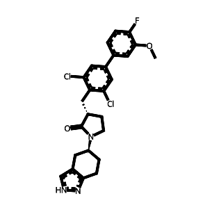 COc1cc(-c2cc(Cl)c(C[C@@H]3CCN([C@H]4CCc5n[nH]cc5C4)C3=O)c(Cl)c2)ccc1F